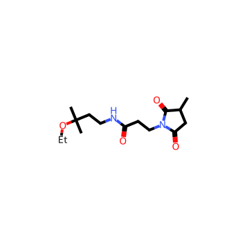 CCOC(C)(C)CCNC(=O)CCN1C(=O)CC(C)C1=O